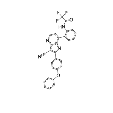 N#Cc1c(-c2ccc(Oc3ccccc3)cc2)nn2c(-c3ccccc3NC(=O)C(F)(F)F)ccnc12